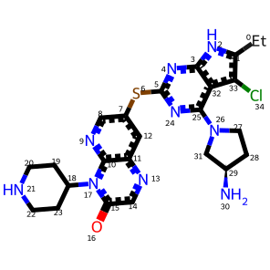 CCc1[nH]c2nc(Sc3cnc4c(c3)ncc(=O)n4C3CCNCC3)nc(N3CC[C@@H](N)C3)c2c1Cl